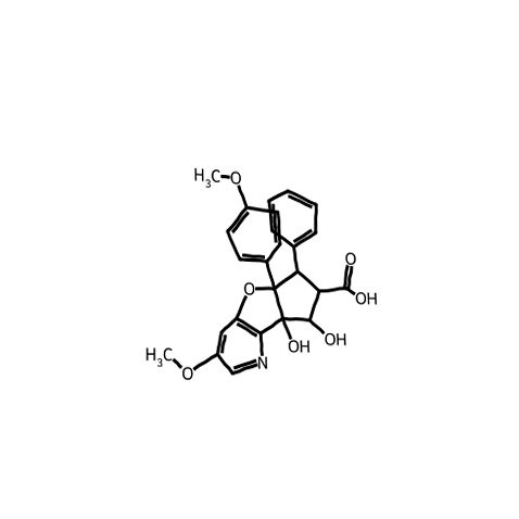 COc1ccc(C23Oc4cc(OC)cnc4C2(O)C(O)C(C(=O)O)C3c2ccccc2)cc1